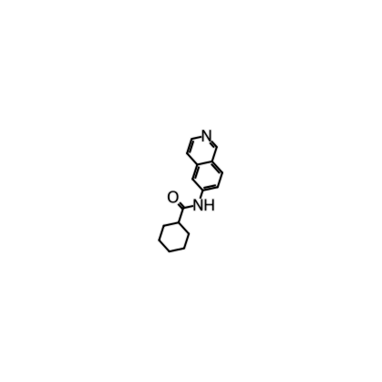 O=C(Nc1ccc2cnccc2c1)C1CCCCC1